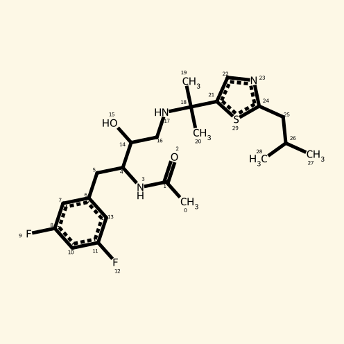 CC(=O)NC(Cc1cc(F)cc(F)c1)C(O)CNC(C)(C)c1cnc(CC(C)C)s1